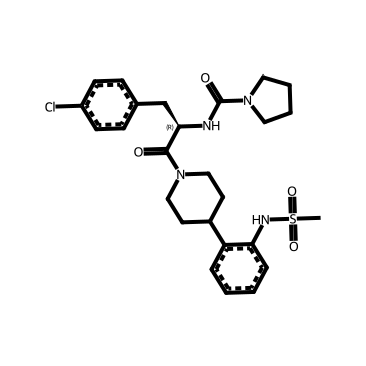 CS(=O)(=O)Nc1ccccc1C1CCN(C(=O)[C@@H](Cc2ccc(Cl)cc2)NC(=O)N2[CH]CCC2)CC1